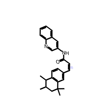 CC1CC(C)(C)c2cc(/C=C\C(=O)Nc3cnc4ccccc4c3)ccc2C1C